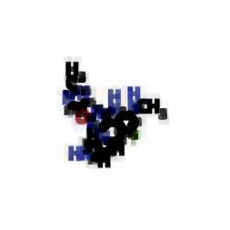 CNc1cc(F)c2c3c1[nH]c1nc(Oc4cnc(C)nc4)nc(c13)N1[C@@H](C2)C[C@@H]2CNC[C@@H]21